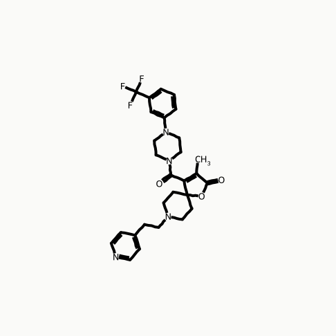 CC1=C(C(=O)N2CCN(c3cccc(C(F)(F)F)c3)CC2)C2(CCN(CCc3ccncc3)CC2)OC1=O